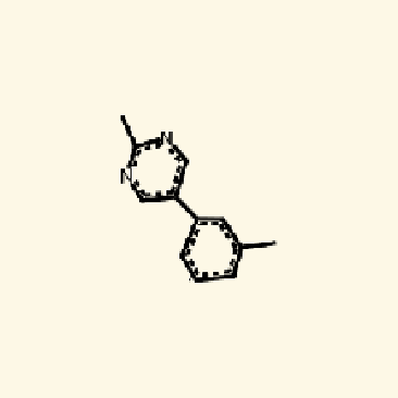 Cc1c[c]cc(-c2cnc(C)nc2)c1